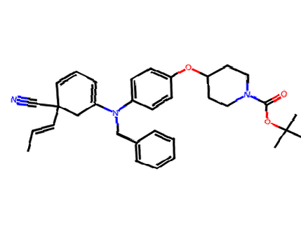 CC=CC1(C#N)C=CC=C(N(Cc2ccccc2)c2ccc(OC3CCN(C(=O)OC(C)(C)C)CC3)cc2)C1